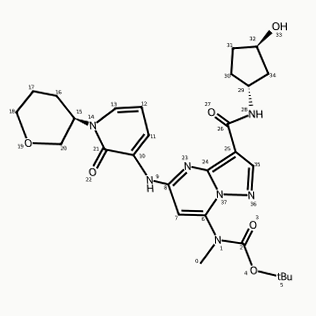 CN(C(=O)OC(C)(C)C)c1cc(Nc2cccn([C@@H]3CCCOC3)c2=O)nc2c(C(=O)N[C@@H]3CC[C@@H](O)C3)cnn12